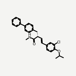 CNC(=O)[C@@H](C=Cc1ccc(OC(C)C)c(Cl)c1)Cc1ccc(-c2ccccc2)cc1